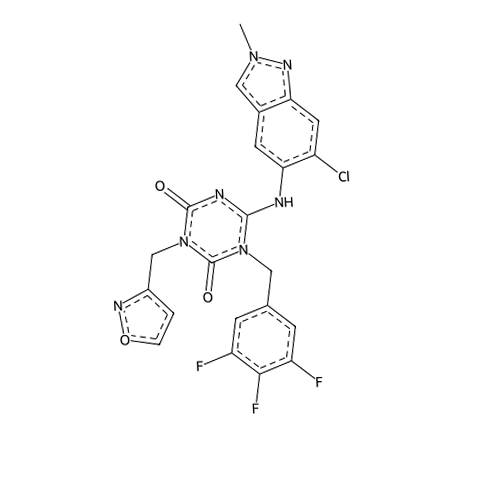 Cn1cc2cc(Nc3nc(=O)n(Cc4ccon4)c(=O)n3Cc3cc(F)c(F)c(F)c3)c(Cl)cc2n1